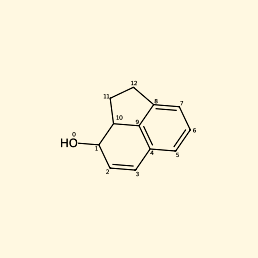 OC1C=Cc2cccc3c2C1CC3